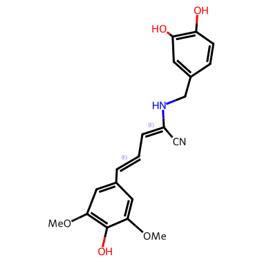 COc1cc(/C=C/C=C(\C#N)NCc2ccc(O)c(O)c2)cc(OC)c1O